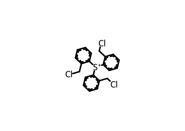 ClCc1ccccc1[S+](c1ccccc1CCl)c1ccccc1CCl